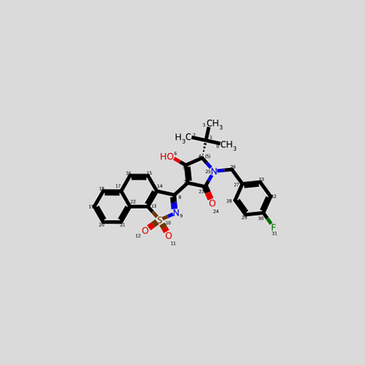 CC(C)(C)[C@H]1C(O)=C(C2=NS(=O)(=O)c3c2ccc2ccccc32)C(=O)N1Cc1ccc(F)cc1